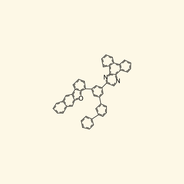 c1ccc(-c2cccc(-c3cc(-c4cnc5c6ccccc6c6ccccc6c5n4)cc(-c4cccc5c4oc4cc6ccccc6cc45)c3)c2)cc1